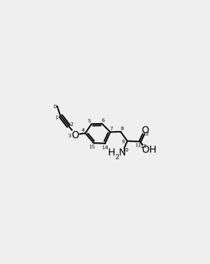 CC#COc1ccc(CC(N)C(=O)O)cc1